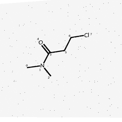 CN(C)C(=O)CCCl